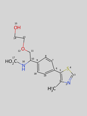 Cc1ncsc1-c1ccc(C(COCCO)NC(=O)O)cc1